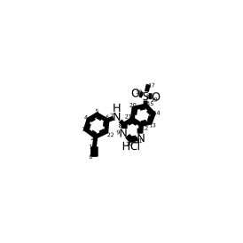 C#Cc1cccc(Nc2ncnc3ccc(S(C)(=O)=O)cc23)c1.Cl